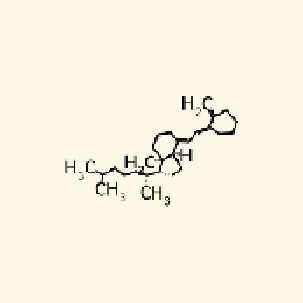 C=C1CCCCC1=CC=C1CCC[C@]2(C)[C@@H]([C@H](C)CCCC(C)C)CC[C@@H]12